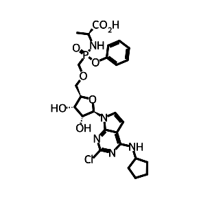 C[C@H](NP(=O)(COC[C@H]1O[C@@H](n2ccc3c(NC4CCCC4)nc(Cl)nc32)[C@H](O)[C@@H]1O)Oc1ccccc1)C(=O)O